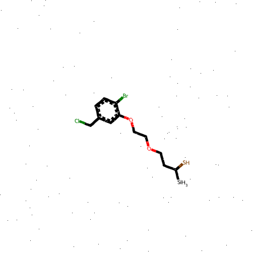 [SiH3]C(S)CCOCCOc1cc(CCl)ccc1Br